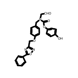 O=CCN(Cc1ccc(OCc2noc(-c3ccccc3)n2)cc1)C(=O)Oc1ccc(O)cc1